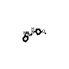 COc1ccc(NCn2nnc3ccccc32)cc1